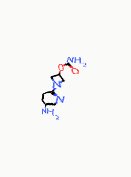 NC(=O)OC1CN(c2ccc(N)cn2)C1